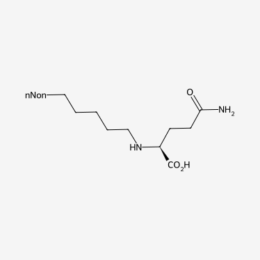 CCCCCCCCCCCCCCN[C@@H](CCC(N)=O)C(=O)O